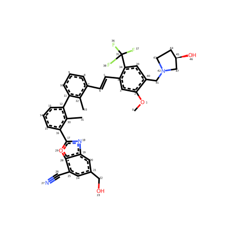 COc1cc(/C=C/c2cccc(-c3cccc(-c4nc5cc(CO)cc(C#N)c5o4)c3C)c2C)c(C(F)(F)F)cc1CN1CC[C@@H](O)C1